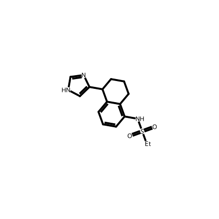 CCS(=O)(=O)Nc1cccc2c1CCCC2c1c[nH]cn1